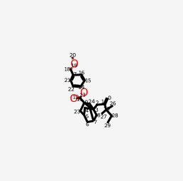 C=C(CC12CC3CC(C1)CC(C(=O)Oc1ccc(COC)cc1)(C3)C2)C(C)(C)CC